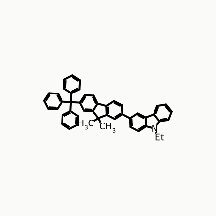 CCn1c2ccccc2c2cc(-c3ccc4c(c3)C(C)(C)c3cc(C(c5ccccc5)(c5ccccc5)c5ccccc5)ccc3-4)ccc21